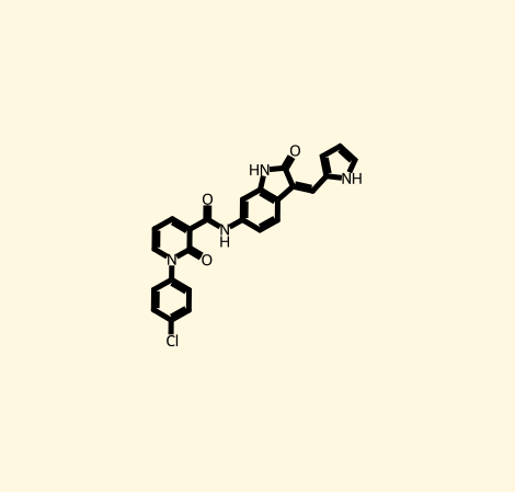 O=C1Nc2cc(NC(=O)c3cccn(-c4ccc(Cl)cc4)c3=O)ccc2/C1=C/c1ccc[nH]1